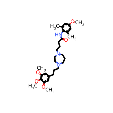 COc1cc(C)c(NC(=O)CCCN2CCCN(CCCc3cc(OC)c(OC)c(OC)c3)CC2)c(C)c1